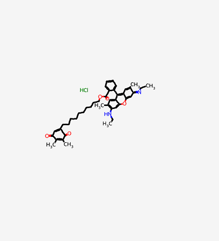 CC/N=c1/cc2oc3cc(NCC)c(C)cc3c(-c3ccccc3C(=O)OCCCCCCCCCCC3=CC(=O)C(C)=C(C)C3=O)c-2cc1C.Cl